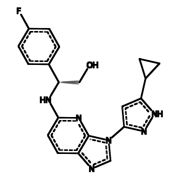 OC[C@H](Nc1ccc2ncn(-c3cc(C4CC4)[nH]n3)c2n1)c1ccc(F)cc1